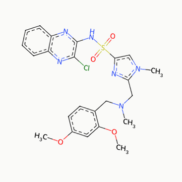 COc1ccc(CN(C)Cc2nc(S(=O)(=O)Nc3nc4ccccc4nc3Cl)cn2C)c(OC)c1